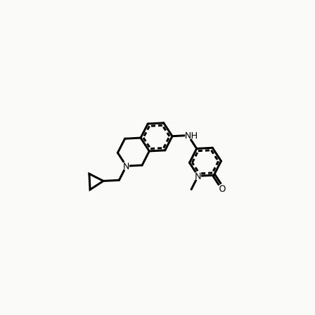 Cn1cc(Nc2ccc3c(c2)CN(CC2CC2)CC3)ccc1=O